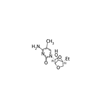 CC[C@]12COC(C1O)[C@H](n1cc(C)c(N)nc1=O)O2